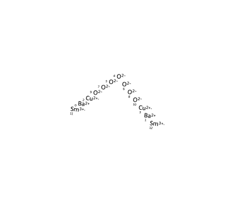 [Ba+2].[Ba+2].[Cu+2].[Cu+2].[O-2].[O-2].[O-2].[O-2].[O-2].[O-2].[O-2].[Sm+3].[Sm+3]